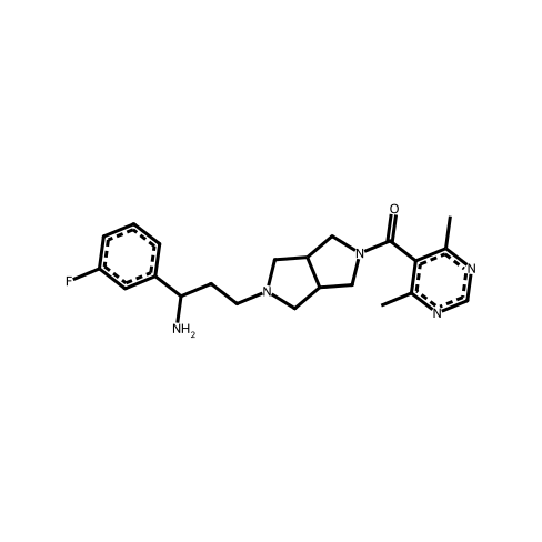 Cc1ncnc(C)c1C(=O)N1CC2CN(CCC(N)c3cccc(F)c3)CC2C1